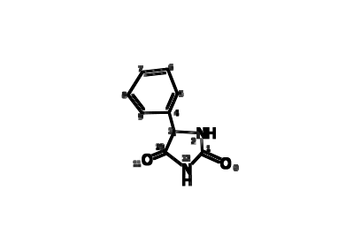 O=C1N[C](c2ccccc2)C(=O)N1